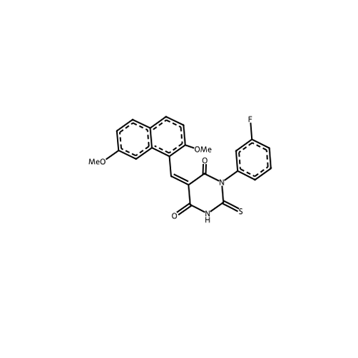 COc1ccc2ccc(OC)c(/C=C3/C(=O)NC(=S)N(c4cccc(F)c4)C3=O)c2c1